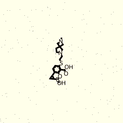 CN1CC2(CCN(CCSc3ccc4c(c3C(=O)O)OB(O)C3CC43)C2)C1